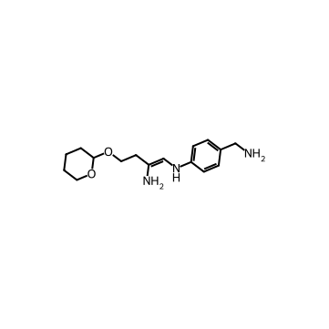 NCc1ccc(N/C=C(\N)CCOC2CCCCO2)cc1